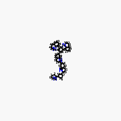 c1ccc(-c2cccc(-c3ccc4ccc(-c5ccc6ccc(-c7cc(-c8cccc9cccnc89)cc(-c8cccc9cccnc89)c7)cc6n5)cc4n3)c2)nc1